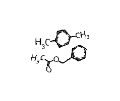 CC(=O)OCc1ccccc1.Cc1ccc(C)cc1